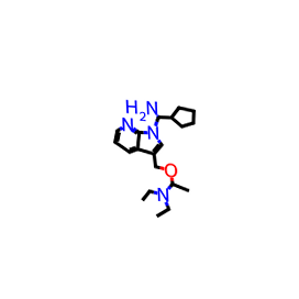 CCN(CC)C(C)OCc1cn(C(N)C2CCCC2)c2ncccc12